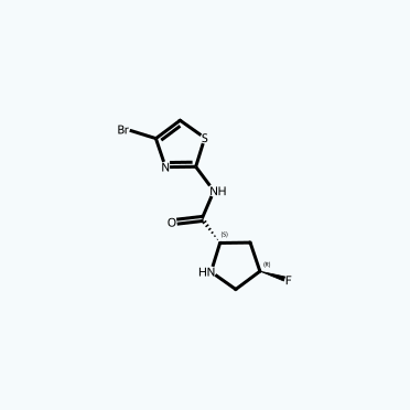 O=C(Nc1nc(Br)cs1)[C@@H]1C[C@@H](F)CN1